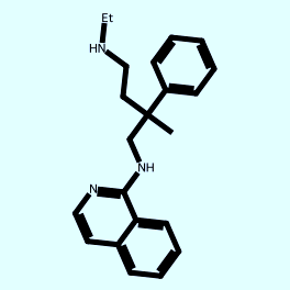 CCNCCC(C)(CNc1nccc2ccccc12)c1ccccc1